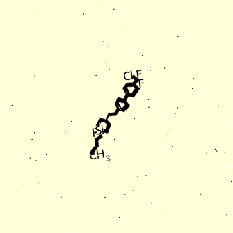 CCCCC[Si@]1(F)CC[C@@H](CCc2ccc(-c3ccc(C(F)(F)Cl)cc3)cc2)CC1